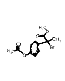 COC(=O)C(C)(Br)c1ccc(OC(C)=O)cc1